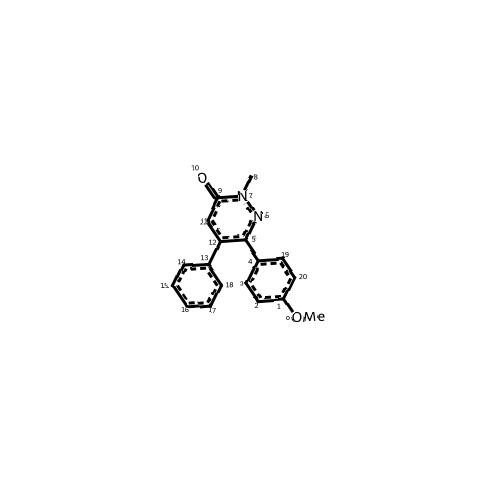 COc1ccc(-c2nn(C)c(=O)cc2-c2ccccc2)cc1